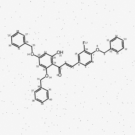 O=C(/C=C/c1ccc(OCc2ccccc2)c(F)c1)c1c(O)cc(OCc2ccccc2)cc1OCc1ccccc1